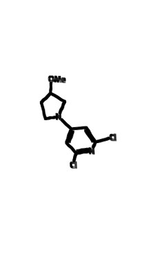 COC1CCN(c2cc(Cl)nc(Cl)c2)C1